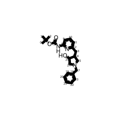 CC(C)(C)OC(=O)Nc1cccc(CC2CN(Cc3ccccc3)CC2O)n1